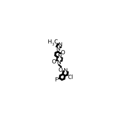 Cc1cn(-c2ccc3n(c2=O)CCN(CCOc2ncc(Cl)c4ccc(F)cc24)C3=O)cn1